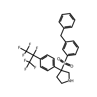 O=S(=O)(c1cccc(Cc2ccccc2)c1)C1(c2ccc(C(F)(C(F)(F)F)C(F)(F)F)cc2)CCNC1